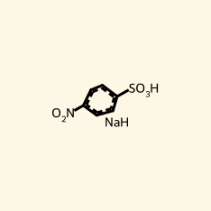 O=[N+]([O-])c1ccc(S(=O)(=O)O)cc1.[NaH]